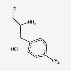 Cc1ccc(CC(N)CCl)cc1.Cl